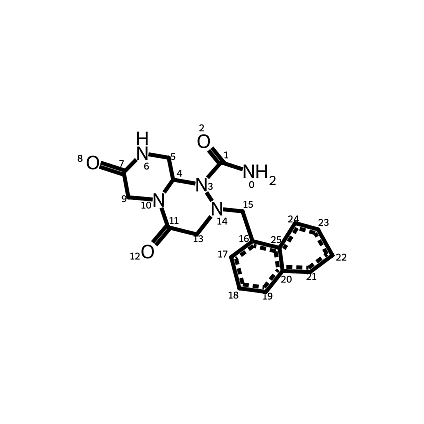 NC(=O)N1C2CNC(=O)CN2C(=O)CN1Cc1cccc2ccccc12